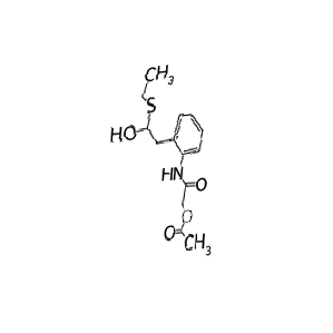 CCSC(O)Cc1ccccc1NC(=O)COC(C)=O